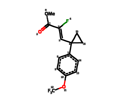 COC(=O)/C(F)=C/C1(c2ccc(OC(F)(F)F)cc2)CC1